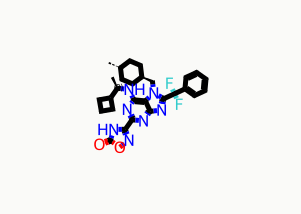 C[C@@H](Nc1nc(-c2noc(=O)[nH]2)nc2nc(C(F)(F)c3ccccc3)n(C[C@H]3CC[C@H](C)CC3)c12)C1CCC1